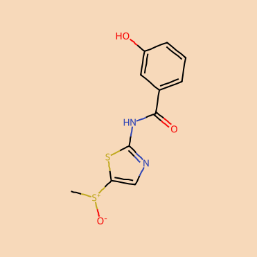 C[S+]([O-])c1cnc(NC(=O)c2cccc(O)c2)s1